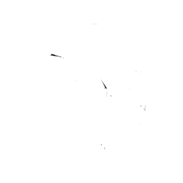 COC1C(O)[C@H](CO)O[C@@H]1n1cc([N+](=O)[O-])c(=O)[nH]c1=O